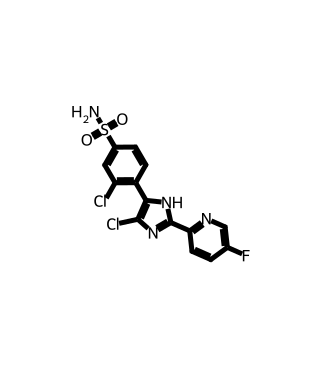 NS(=O)(=O)c1ccc(-c2[nH]c(-c3ccc(F)cn3)nc2Cl)c(Cl)c1